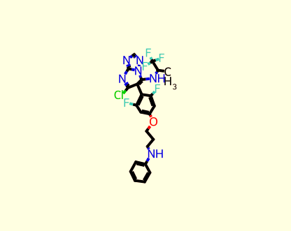 CC(Nc1c(-c2c(F)cc(OCCCNc3ccccc3)cc2F)c(Cl)nc2ncnn12)C(F)(F)F